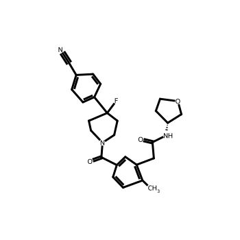 Cc1ccc(C(=O)N2CCC(F)(c3ccc(C#N)cc3)CC2)cc1CC(=O)N[C@@H]1CCOC1